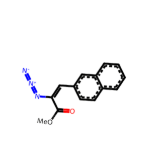 COC(=O)/C(=C\c1ccc2ccccc2c1)N=[N+]=[N-]